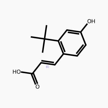 CC(C)(C)c1cc(O)ccc1/C=C/C(=O)O